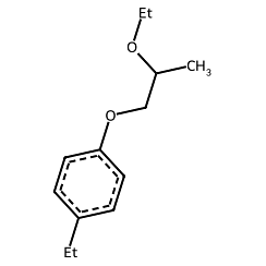 CCOC(C)COc1ccc(CC)cc1